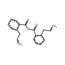 C=CCc1ccccc1C(=O)OC(=O)c1ccccc1CC=C